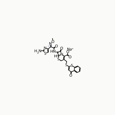 CO/N=C(\C(=O)N[C@@H]1C(=O)N2C(C(=O)[O-])=C(CSc3cc(=O)c4ccccc4s3)CS[C@@H]12)c1csc(N)n1.[Na+]